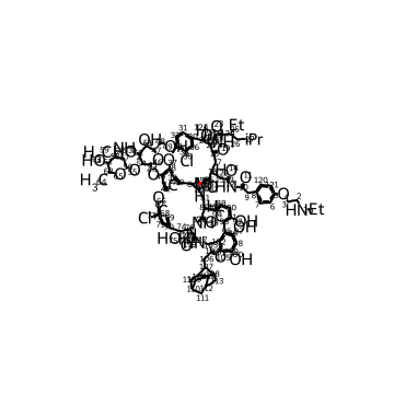 CCNCCOc1ccc(CC(=O)NC(=O)C[C@@H]2CC(=O)[C@H](NC(=O)[C@H](CC)CC(C)C)[C@H](O)c3ccc(c(Cl)c3)Oc3cc4cc(c3O[C@@H]3O[C@H](CO)[C@@H](O)[C@H](O)[C@H]3O[C@H]3C[C@](C)(N)[C@H](O)[C@H](C)O3)Oc3ccc(cc3Cl)[C@@H](O)[C@@H]3NC(=O)[C@H](CC(=O)[C@@H]4NC2=O)c2ccc(O)c(c2)-c2c(O)cc(O)cc2[C@@H](C(=O)CC2C4CC5CC(C4)CC2C5)NC3=O)cc1